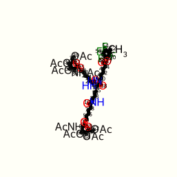 CC(=O)NC1C(OCCCCCC(=O)NCCCC[C@H](NC(=O)CCCCCOC2OC(COC(C)=O)C(OC(C)=O)C(OC(C)=O)C2NC(C)=O)C(=O)NCCCCCC(=O)Oc2c(F)c(C)c(F)c(F)c2F)OC(COC(C)=O)C(OC(C)=O)C1OC(C)=O